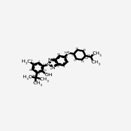 Cc1cc(-n2nc3ccc(SC4CCC(C(C)C)CC4)cc3n2)c(O)c(C(C)(C)C)c1